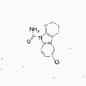 NC(=O)n1c2c(c3cc(Cl)ccc31)CCC[C]2